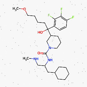 CNCC(CC1CCCCC1)NC(=O)N1CCCC(C(O)(CCCCOC)c2ccc(F)c(F)c2F)C1